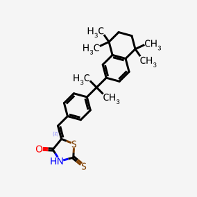 CC1(C)CCC(C)(C)c2cc(C(C)(C)c3ccc(/C=C4\SC(=S)NC4=O)cc3)ccc21